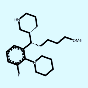 COCCCC[C@H](c1cccc(F)c1N1CCCCC1)[C@H]1CCCNC1